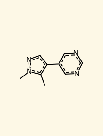 Cc1c(-c2cncnc2)cnn1C